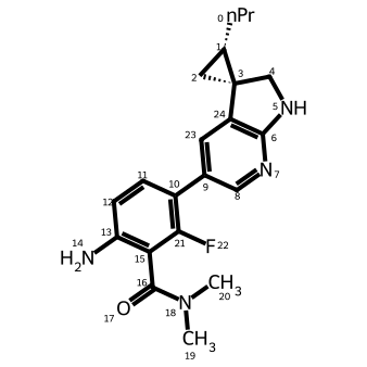 CCC[C@H]1C[C@@]12CNc1ncc(-c3ccc(N)c(C(=O)N(C)C)c3F)cc12